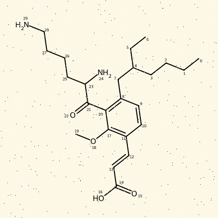 CCCCC(CC)Cc1ccc(C=CC(=O)O)c(OC)c1C(=O)C(N)CCCCN